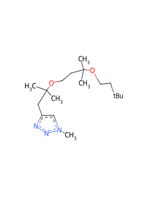 Cn1cc(CC(C)(C)OCCC(C)(C)OCCC(C)(C)C)nn1